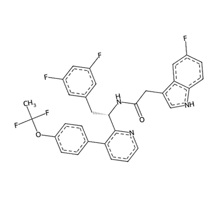 CC(F)(F)Oc1ccc(-c2cccnc2[C@H](Cc2cc(F)cc(F)c2)NC(=O)Cc2c[nH]c3ccc(F)cc23)cc1